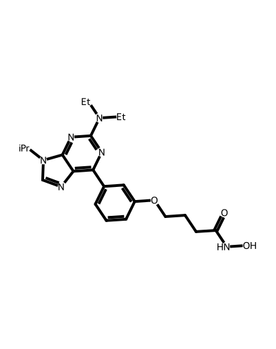 CCN(CC)c1nc(-c2cccc(OCCCC(=O)NO)c2)c2ncn(C(C)C)c2n1